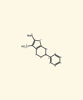 CNc1sc2c(c1C(=O)O)CCC(c1ccccc1)C2